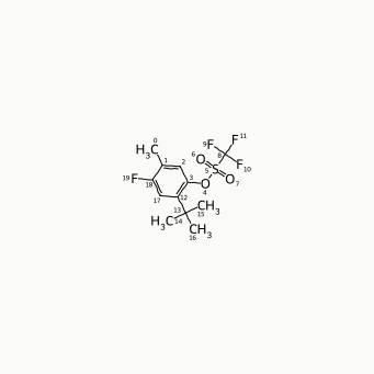 Cc1cc(OS(=O)(=O)C(F)(F)F)c(C(C)(C)C)cc1F